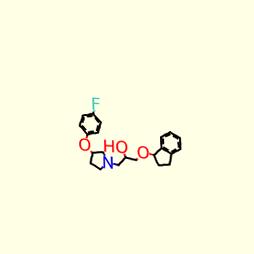 OC(CO[C@@H]1CCc2ccccc21)CN1CCC(Oc2ccc(F)cc2)C1